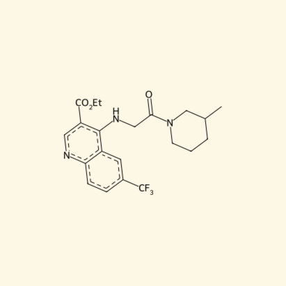 CCOC(=O)c1cnc2ccc(C(F)(F)F)cc2c1NCC(=O)N1CCCC(C)C1